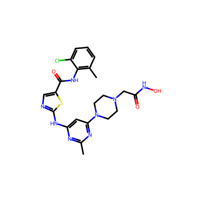 Cc1nc(Nc2ncc(C(=O)Nc3c(C)cccc3Cl)s2)cc(N2CCN(CC(=O)NO)CC2)n1